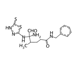 CC(CCC(=O)NCc1ccccc1)C(N)(C=O)Nc1n[nH]c(=S)s1